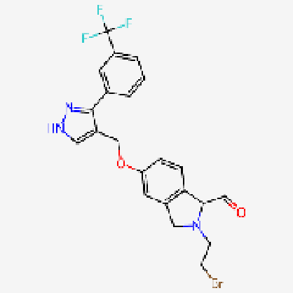 O=CC1c2ccc(OCc3c[nH]nc3-c3cccc(C(F)(F)F)c3)cc2CN1CCBr